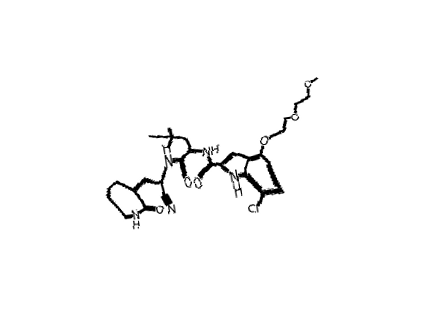 COCCOCCOc1ccc(Cl)c2[nH]c(C(=O)NC(CC(C)(C)C)C(=O)NC(C#N)CC3CCCNC3=O)cc12